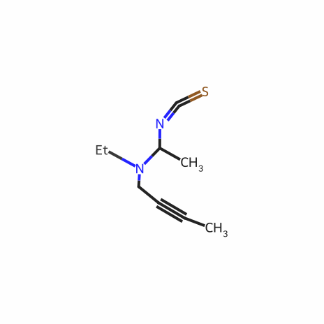 CC#CCN(CC)C(C)N=C=S